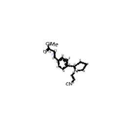 [C-]#[N+]CCN1CCCC1c1ccc(/C=C/C(=O)OC)cc1